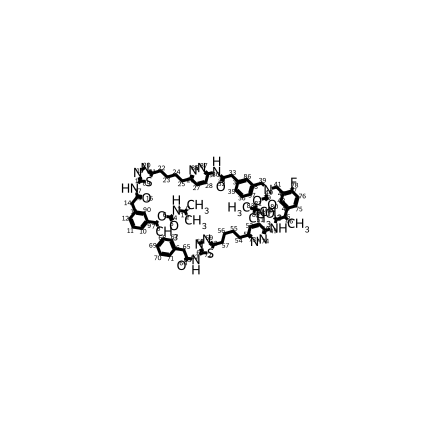 CC(C)NC(=O)OC(C)c1cccc(CC(=O)Nc2nnc(CCCCc3ccc(NC(=O)Cc4cccc(CN(Cc5cc(C(C)C(O)Nc6ccc(CCCCc7nnc(NC(=O)Cc8ccccc8)s7)nn6)ccc5F)C(=O)OC(C)(C)C)c4)nn3)s2)c1